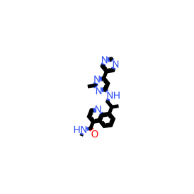 CNC(=O)c1ccnc2c(C(C)CNc3cc(-c4cncnc4)nc(C)n3)cccc12